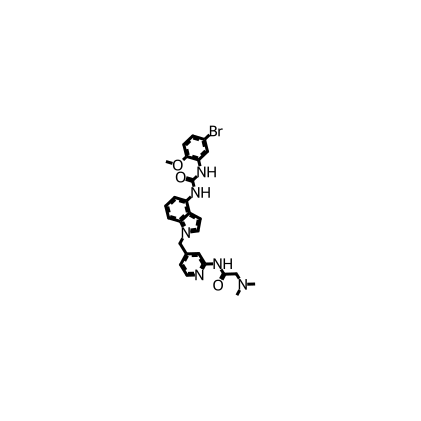 COc1ccc(Br)cc1NC(=O)Nc1cccc2c1ccn2Cc1ccnc(NC(=O)CN(C)C)c1